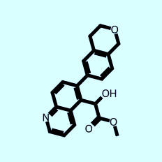 COC(=O)C(O)c1c(-c2ccc3c(c2)CCOC3)ccc2ncccc12